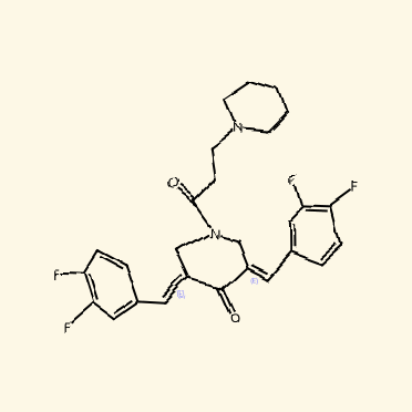 O=C1/C(=C/c2ccc(F)c(F)c2)CN(C(=O)CCN2CCCCC2)C/C1=C\c1ccc(F)c(F)c1